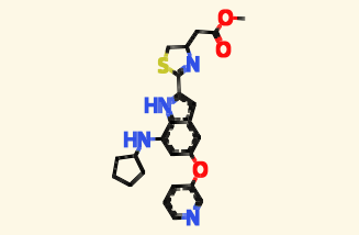 COC(=O)CC1CSC(c2cc3cc(Oc4cccnc4)cc(NC4CCCC4)c3[nH]2)=N1